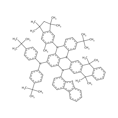 Cc1cc2c(cc1N1c3ccc(C(C)(C)C)cc3B3c4cc5c(cc4N(c4cccc6c4sc4ccccc46)c4cc(N(c6ccc(C(C)(C)C)cc6)c6ccc(C(C)(C)C)cc6)cc1c43)C(C)(C)c1ccccc1C5(C)C)C(C)(C)CC2(C)C